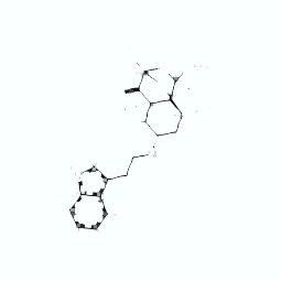 C=C1[C@@H]2O[C@@H](OC)C3[C@H]1C[C@H](NCCc1c[nH]c4ccccc14)C[C@]3(OC(C)=O)O2